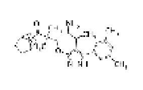 Cc1cc(C)cc(-c2[nH]nc(OCC(C)(C)C(=O)N3C4CCC3CC4)c2[C@H](C)CN)c1